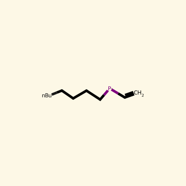 C=C[P]CCCCCCCC